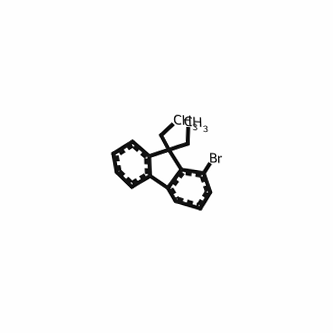 CCC1(CC)c2ccccc2-c2cccc(Br)c21